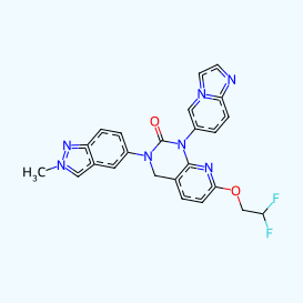 Cn1cc2cc(N3Cc4ccc(OCC(F)F)nc4N(c4ccc5nccn5c4)C3=O)ccc2n1